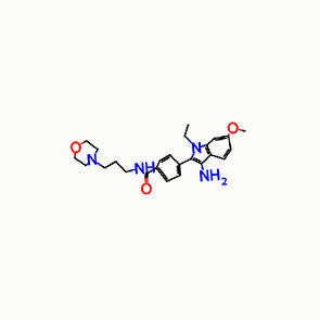 CCn1c(-c2ccc(C(=O)NCCCN3CCOCC3)cc2)c(N)c2ccc(OC)cc21